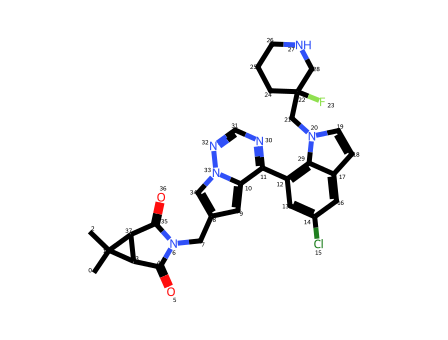 CC1(C)C2C(=O)N(Cc3cc4c(-c5cc(Cl)cc6ccn(CC7(F)CCCNC7)c56)ncnn4c3)C(=O)C21